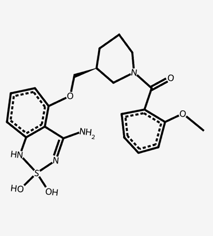 COc1ccccc1C(=O)N1CCC[C@H](COc2cccc3c2C(N)=NS(O)(O)N3)C1